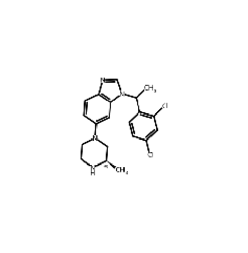 CC(c1ccc(Cl)cc1Cl)n1cnc2ccc(N3CCN[C@H](C)C3)cc21